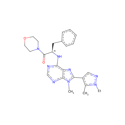 CCn1ncc(-c2nc3c(N[C@H](Cc4ccccc4)C(=O)N4CCOCC4)ncnc3n2C)c1C